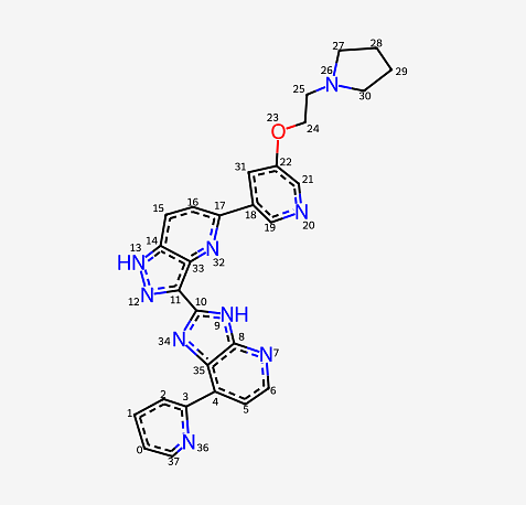 c1ccc(-c2ccnc3[nH]c(-c4n[nH]c5ccc(-c6cncc(OCCN7CCCC7)c6)nc45)nc23)nc1